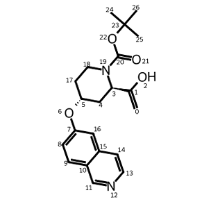 C=C(O)[C@H]1C[C@H](Oc2ccc3cnccc3c2)CCN1C(=O)OC(C)(C)C